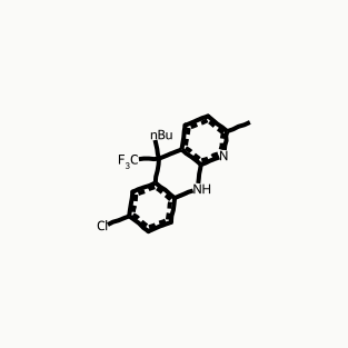 CCCCC1(C(F)(F)F)c2cc(Cl)ccc2Nc2nc(C)ccc21